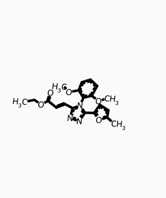 CCOC(=O)/C=C/c1nnc(-c2ccc(C)o2)n1-c1c(OC)cccc1OC